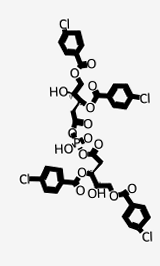 O=C(C[C@H](OC(=O)c1ccc(Cl)cc1)[C@H](O)COC(=O)c1ccc(Cl)cc1)OP(=O)(O)OC(=O)C[C@H](OC(=O)c1ccc(Cl)cc1)[C@H](O)COC(=O)c1ccc(Cl)cc1